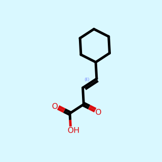 O=C(O)C(=O)/C=C/C1CCCCC1